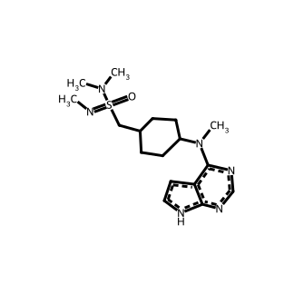 CN=S(=O)(CC1CCC(N(C)c2ncnc3[nH]ccc23)CC1)N(C)C